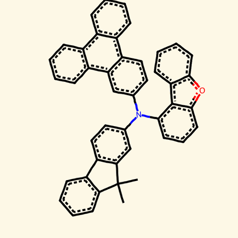 CC1(C)c2ccccc2-c2ccc(N(c3ccc4c5ccccc5c5ccccc5c4c3)c3cccc4oc5ccccc5c34)cc21